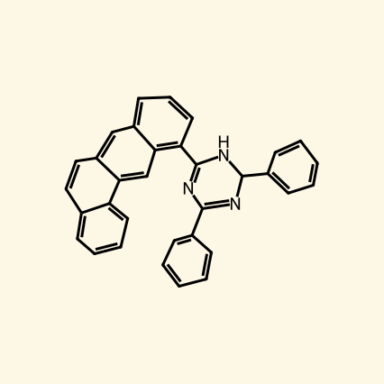 c1ccc(C2=NC(c3ccccc3)NC(c3cccc4cc5ccc6ccccc6c5cc34)=N2)cc1